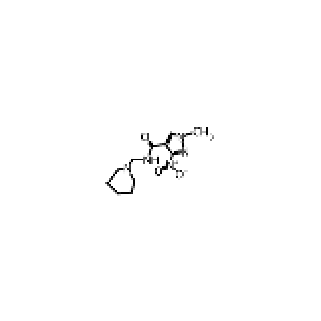 Cn1cc(C(=O)NCN2CCCCC2)c([N+](=O)[O-])n1